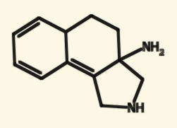 NC12CCC3C=CC=CC3=C1CNC2